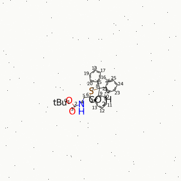 CC(C)(C)OC(=O)NCC(SC(c1ccccc1)(c1ccccc1)c1ccccc1)C(=O)O